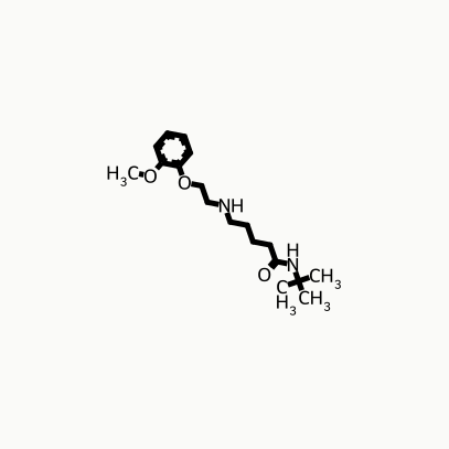 COc1ccccc1OCCNCCCCC(=O)NC(C)(C)C